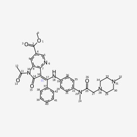 COC(=O)c1cnc2c(c1)N(C(C)=O)C(=O)/C2=C(/Nc1ccc(N(C)C(=O)CN2CCN(C)CC2)cc1)c1ccccc1